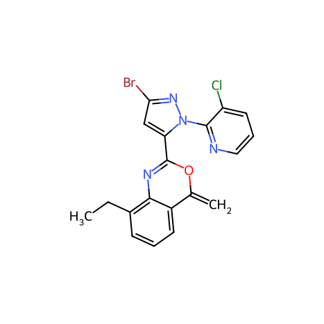 C=C1OC(c2cc(Br)nn2-c2ncccc2Cl)=Nc2c(CC)cccc21